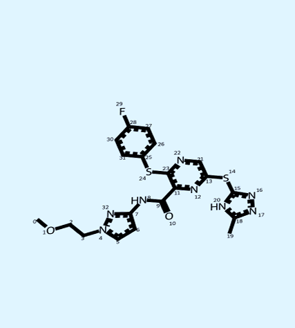 COCCn1ccc(NC(=O)c2nc(Sc3nnc(C)[nH]3)cnc2Sc2ccc(F)cc2)n1